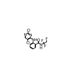 O=C(NC(F)(F)CF)c1ccccc1Nc1nc(Cl)ncc1Cl